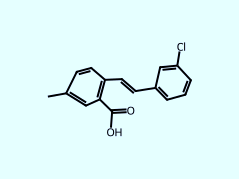 Cc1ccc(/C=C/c2cccc(Cl)c2)c(C(=O)O)c1